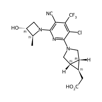 C[C@H]1[C@H](O)CN1c1nc(N2C[C@@H]3[C@@H](CC(=O)O)[C@@H]3C2)c(Cl)c(C(F)(F)F)c1C#N